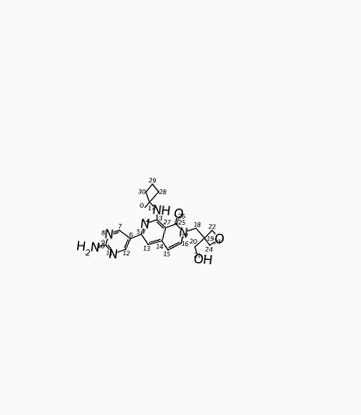 CC1(Nc2nc(-c3cnc(N)nc3)cc3ccn(CC4(CO)COC4)c(=O)c23)CCC1